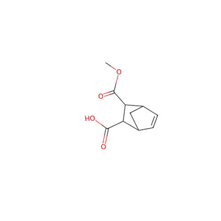 COC(=O)C1C2C=CC(C2)C1C(=O)O